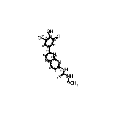 CCNC(=S)Nc1ccc2ncc(-c3cc(Cl)c(O)c(Cl)c3)nc2n1